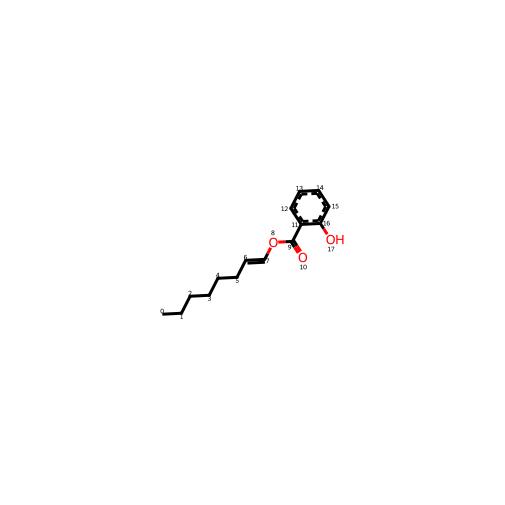 CCCCCCC=COC(=O)c1ccccc1O